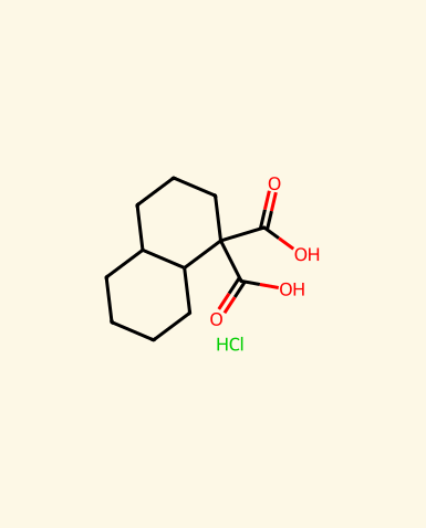 Cl.O=C(O)C1(C(=O)O)CCCC2CCCCC21